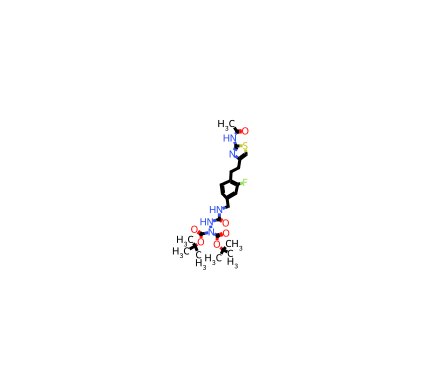 CC(=O)Nc1nc(CCc2ccc(CNC(=O)NN(C(=O)OC(C)(C)C)C(=O)OC(C)(C)C)cc2F)cs1